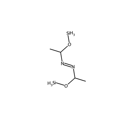 CC(N=NC(C)O[SiH3])O[SiH3]